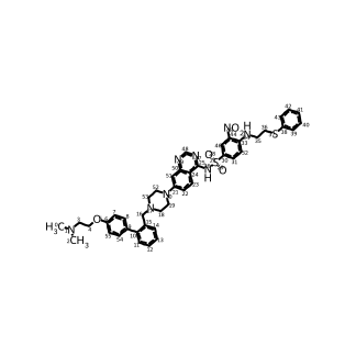 CN(C)CCOc1ccc(-c2ccccc2CN2CCN(c3ccc4c(NS(=O)(=O)c5ccc(NCCSc6ccccc6)c([N+](=O)[O-])c5)ncnc4c3)CC2)cc1